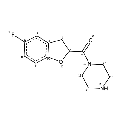 O=C(C1Cc2cc(F)ccc2O1)N1CCNCC1